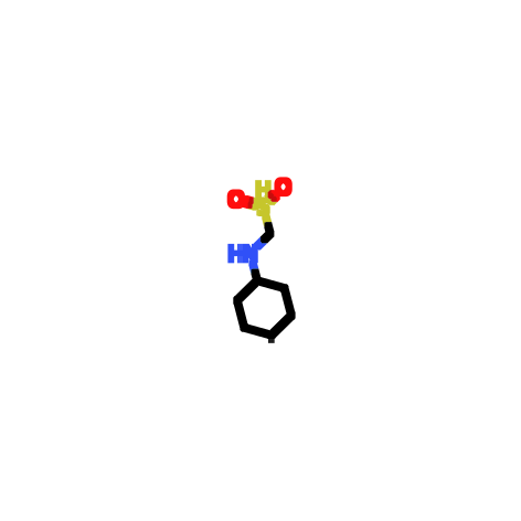 O=[SH](=O)CNC1CC[CH]CC1